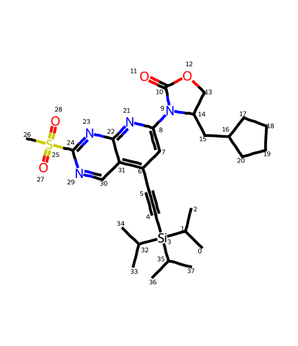 CC(C)[Si](C#Cc1cc(N2C(=O)OCC2CC2CCCC2)nc2nc(S(C)(=O)=O)ncc12)(C(C)C)C(C)C